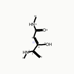 C=C(NC)/C(O)=C/C(=O)NC